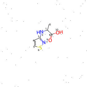 CC(Nc1ccsn1)C(=O)O